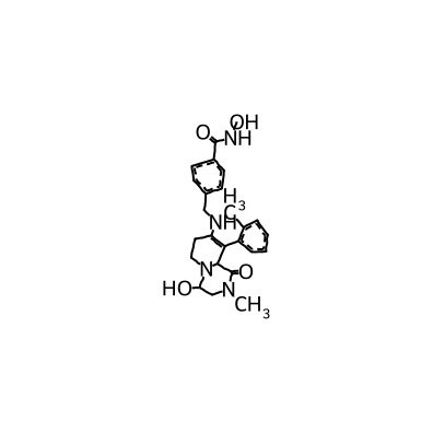 Cc1ccccc1C1=C(NCc2ccc(C(=O)NO)cc2)CCN2C(O)CN(C)C(=O)C12